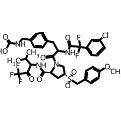 COc1ccc(CS(=O)(=O)[C@@H]2C[C@@H](C(=O)NC(C(=O)C(F)(F)F)C(C)C)N(C(=O)C(Cc3ccc(CNC(=O)O)cc3)NC(=O)C(F)(F)c3cccc(Cl)c3)C2)cc1